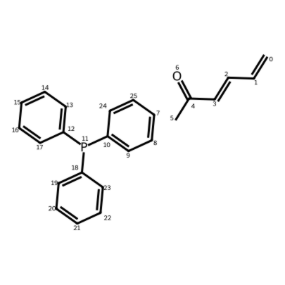 C=CC=CC(C)=O.c1ccc(P(c2ccccc2)c2ccccc2)cc1